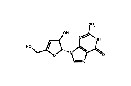 Nc1nc2c(ncn2[C@@H]2OC(CO)=CC2O)c(=O)[nH]1